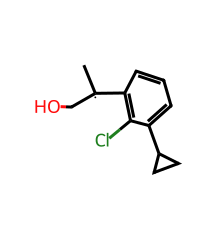 C[C](CO)c1cccc(C2CC2)c1Cl